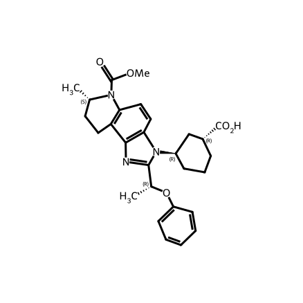 COC(=O)N1c2ccc3c(nc([C@@H](C)Oc4ccccc4)n3[C@@H]3CCC[C@@H](C(=O)O)C3)c2CC[C@@H]1C